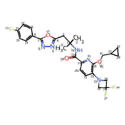 CC(C)(Cc1nnc(-c2ccc(F)cc2)o1)NC(=O)c1ccc(N2CC(F)(F)C2)c(OCC2CC2)n1